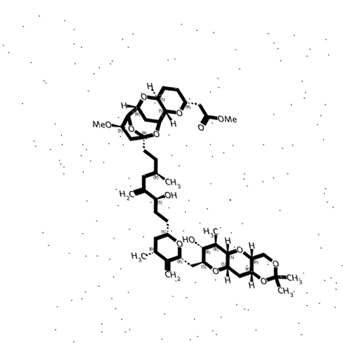 C=C(C[C@H](C)CC[C@]12C[C@@H](OC)C(O1)[C@H]1CC(O2)[C@H]2O[C@@H](CC(=O)OC)CC[C@@H]2O1)[C@@H](O)CC[C@H]1C[C@@H](C)C(=C)[C@@H](C[C@@H]2O[C@H]3C[C@H]4OC(C)(C)OC[C@H]4O[C@H]3[C@H](C)[C@H]2O)O1